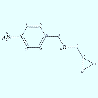 Nc1ccc(COCC2CC2)cc1